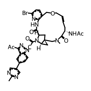 CC(=O)N[C@H]1C/C=C/COCc2ccc(Br)nc2NC(=O)[C@@H]2C[C@]3(C[C@H]3N2C(=O)Cn2nc(C(C)=O)c3cc(-c4cnc(C)nc4)ccc32)CN(C)C1=O